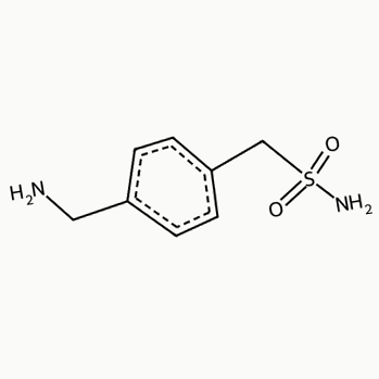 NCc1ccc(CS(N)(=O)=O)cc1